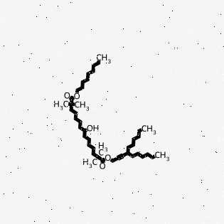 CCCCCCCCCOC(=O)C(C)(C)CCCCCC(O)CCCCCC(C)(C)C(=O)OCC#CC(CCCCCC)CCCCCC